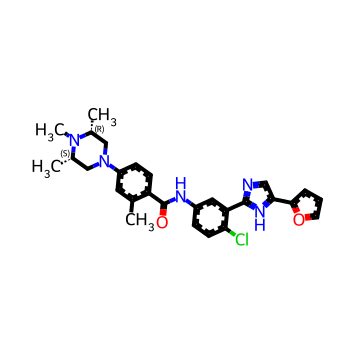 Cc1cc(N2C[C@@H](C)N(C)[C@@H](C)C2)ccc1C(=O)Nc1ccc(Cl)c(-c2ncc(-c3ccco3)[nH]2)c1